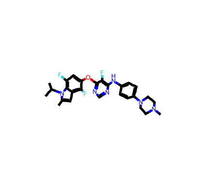 Cc1cc2c(F)c(Oc3ncnc(Nc4ccc(N5CCN(C)CC5)cc4)c3F)cc(F)c2n1C(C)C